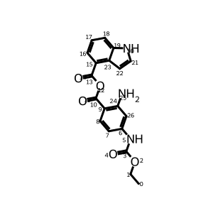 CCOC(=O)Nc1ccc(C(=O)OC(=O)c2cccc3[nH]ccc23)c(N)c1